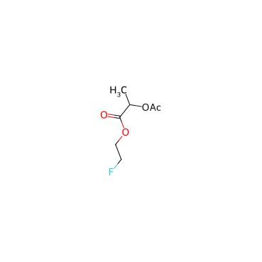 CC(=O)OC(C)C(=O)OCCF